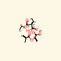 C=C(C)C(=O)OC(=C)C(=O)OC.CC=C(C(=O)O)C(=O)OCC